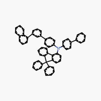 c1ccc(-c2ccc(N(c3ccc(-c4cccc(-c5cccc6ccccc56)c4)cc3)c3cccc4c3-c3ccccc3C4(c3ccccc3)c3ccccc3)cc2)cc1